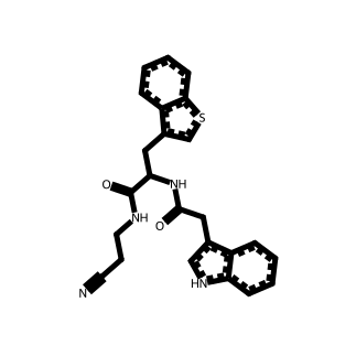 N#CCCNC(=O)C(Cc1csc2ccccc12)NC(=O)Cc1c[nH]c2ccccc12